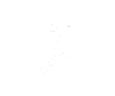 CN(CCC#N)C(=N)c1ccc(CN2C(=O)CN(S(=O)(=O)c3cc4cc(Cl)ccc4[nH]3)C[C@@H]2C(=O)O)cc1